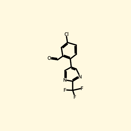 O=Cc1cc(Cl)ccc1-c1cnc(C(F)(F)F)nc1